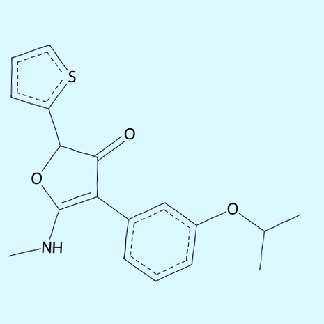 CNC1=C(c2cccc(OC(C)C)c2)C(=O)C(c2cccs2)O1